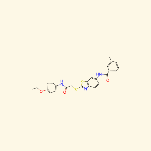 CCOc1ccc(NC(=O)CSc2nc3ccc(NC(=O)c4cccc(C)c4)cc3s2)cc1